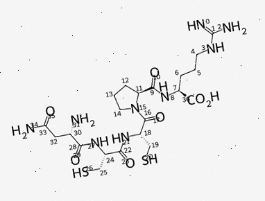 N=C(N)NCCC[C@H](NC(=O)[C@@H]1CCCN1C(=O)[C@H](CS)NC(=O)[C@H](CS)NC(=O)[C@@H](N)CC(N)=O)C(=O)O